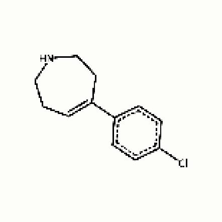 Clc1ccc(C2=CCCNCC2)cc1